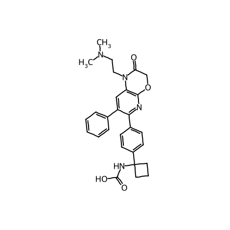 CN(C)CCN1C(=O)COc2nc(-c3ccc(C4(NC(=O)O)CCC4)cc3)c(-c3ccccc3)cc21